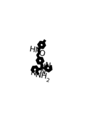 Cc1ccc(NC(=O)Cc2ccc(-n3c(-c4cccnc4N)nc4cccnc43)cc2)cc1